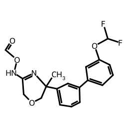 CC1(c2cccc(-c3cccc(OC(F)F)c3)c2)COCC(NOC=O)=N1